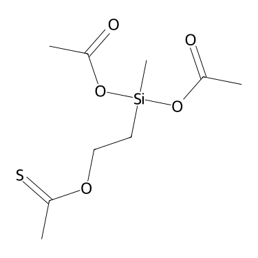 CC(=O)O[Si](C)(CCOC(C)=S)OC(C)=O